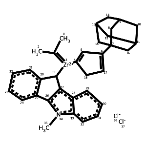 C[C](C)=[Zr+2]([C]1=CC(C23CC4CC(CC(C4)C2)C3)=CC1)[CH]1c2ccccc2-c2c1c1ccccc1n2C.[Cl-].[Cl-]